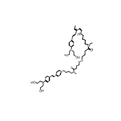 C/C=C(\C=C/NCCCCN(C)C(=O)CCCSSCCCC(=O)N(C)CCCC[n+]1ccc(/C=C/c2ccc(N(CCO)CCO)cc2)cc1)/C=C/c1ccc(N(CCO)CCO)cc1